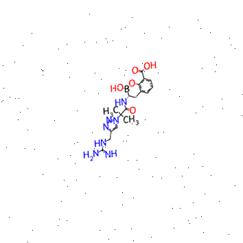 CC(C)(C(=O)N[C@H]1Cc2cccc(C(=O)O)c2OB1O)n1cc(CNC(=N)N)nn1